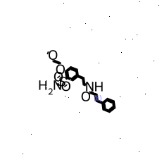 COCCOc1ccc(CCNC(=O)/C=C/c2ccccc2)cc1S(N)(=O)=O